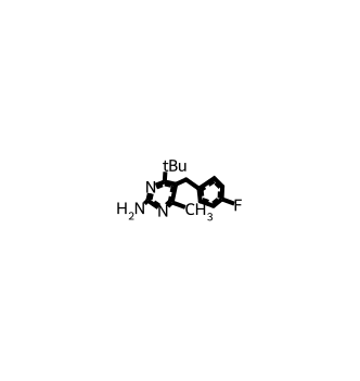 Cc1nc(N)nc(C(C)(C)C)c1Cc1ccc(F)cc1